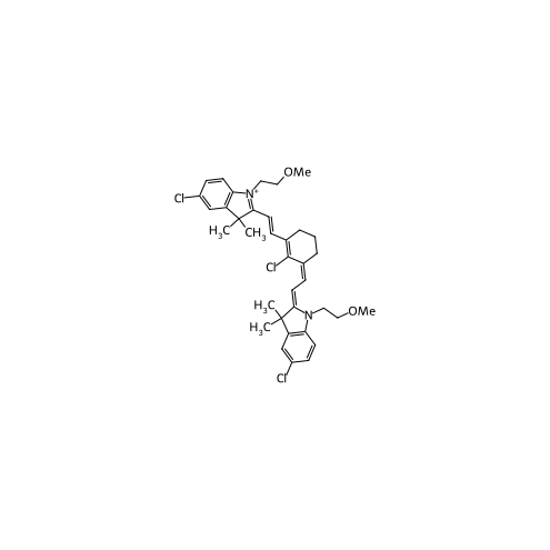 COCCN1C(=CC=C2CCCC(C=CC3=[N+](CCOC)c4ccc(Cl)cc4C3(C)C)=C2Cl)C(C)(C)c2cc(Cl)ccc21